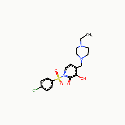 CCN1CCN(Cc2ccn(S(=O)(=O)c3ccc(Cl)cc3)c(=O)c2O)CC1